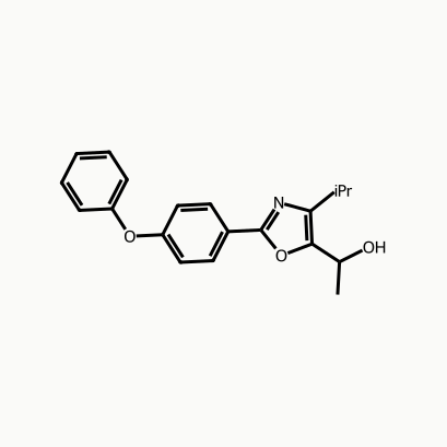 CC(C)c1nc(-c2ccc(Oc3ccccc3)cc2)oc1C(C)O